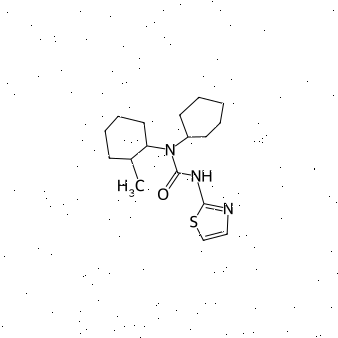 CC1CCCCC1N(C(=O)Nc1nccs1)C1CCCCC1